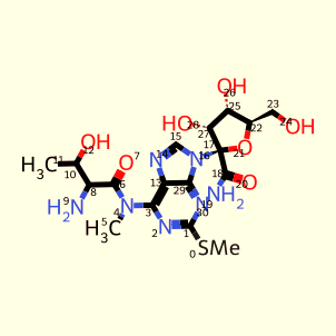 CSc1nc(N(C)C(=O)C(N)C(C)O)c2ncn([C@]3(C(N)=O)O[C@H](CO)[C@@H](O)[C@H]3O)c2n1